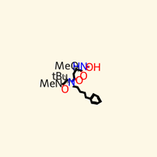 CNC(=O)[C@@H](N(CCCCCc1ccccc1)C(=O)C[C@H](OC)C(=O)NO)C(C)(C)C